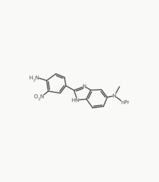 CCCN(C)c1ccc2[nH]c(-c3ccc(N)c([N+](=O)[O-])c3)nc2c1